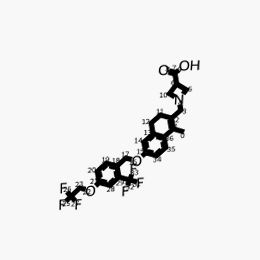 CC1=C(CN2CC(C(=O)O)C2)CCc2cc(OCc3ccc(OCC(F)(F)F)cc3C(F)(F)F)ccc21